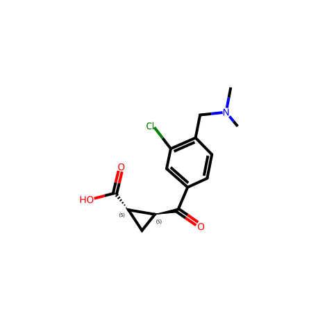 CN(C)Cc1ccc(C(=O)[C@H]2C[C@@H]2C(=O)O)cc1Cl